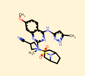 COc1ccc2c(Nc3cc(C)[nH]n3)nc(N(C)C3CC4CCC(C3)N4S(=O)(=O)N3CC(C#N)C3)nc2c1